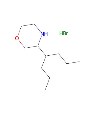 Br.CCCC(CCC)C1COCCN1